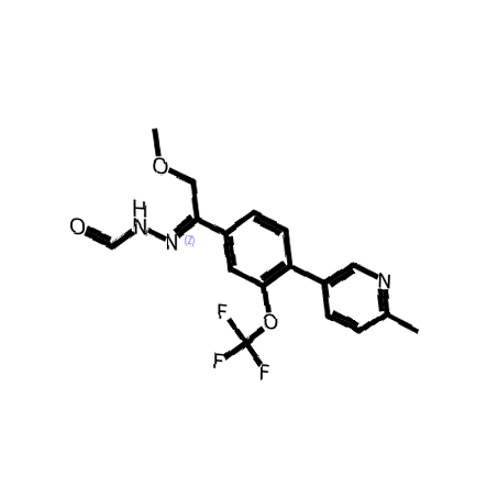 COC/C(=N\NC=O)c1ccc(-c2ccc(C)nc2)c(OC(F)(F)F)c1